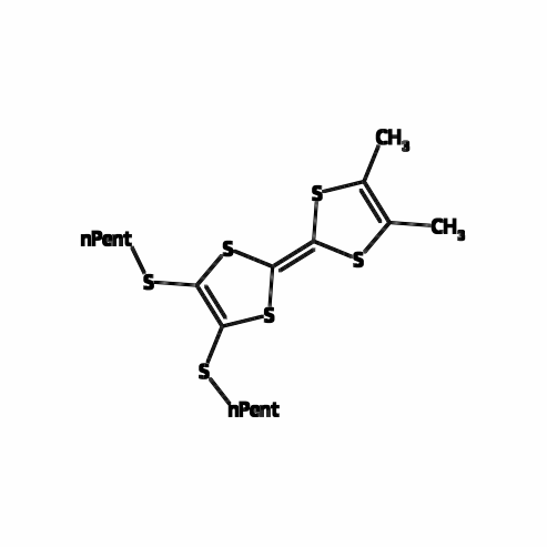 CCCCCSC1=C(SCCCCC)SC(=C2SC(C)=C(C)S2)S1